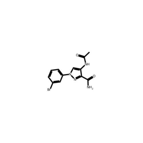 CC(=O)Nc1cn(-c2cccc(Br)c2)nc1C(N)=O